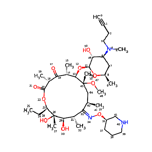 C#CCCN(C)[C@H]1C[C@@H](C)O[C@@H](O[C@@H]2[C@@H](C)C(=O)[C@@H](C)C(=O)O[C@H](CC)[C@@](C)(O)[C@H](O)[C@@H](C)/C(=N/O[C@@H]3CCCNC3)[C@H](C)C[C@@]2(C)OC)[C@@H]1O